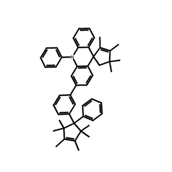 CC1=C(C)C2(CC1(C)C)c1ccccc1N(c1ccccc1)c1cc(-c3cccc(C4(c5ccccc5)C(C)(C)C(C)=C(C)C4(C)C)c3)ccc12